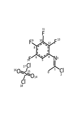 C/C(Cl)=N\c1cc(F)c(F)c(F)c1F.O=S(=O)(Cl)Cl